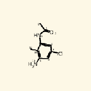 CC(=O)Nc1cc(Cl)cc(N)c1C